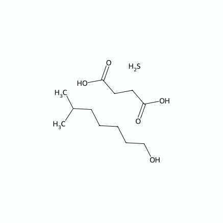 CC(C)CCCCCO.O=C(O)CCC(=O)O.S